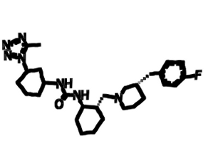 Cc1nnnn1C1CCCC(NC(=O)N[C@@H]2CCCC[C@H]2CN2CCC[C@@H](Cc3ccc(F)cc3)C2)C1